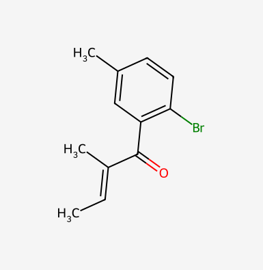 C/C=C(\C)C(=O)c1cc(C)ccc1Br